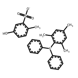 Cc1cc(C)c([S+](c2ccccc2)c2ccccc2)c(C)c1.Cc1ccc(O)cc1S(=O)(=O)[O-]